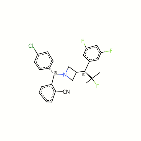 CC(C)(F)[C@H](c1cc(F)cc(F)c1)C1CN([C@@H](c2ccc(Cl)cc2)c2ccccc2C#N)C1